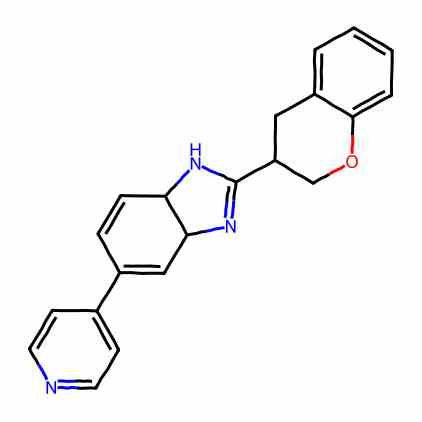 C1=CC2NC(C3COc4ccccc4C3)=NC2C=C1c1ccncc1